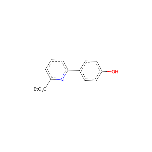 CCOC(=O)c1cccc(-c2ccc(O)cc2)n1